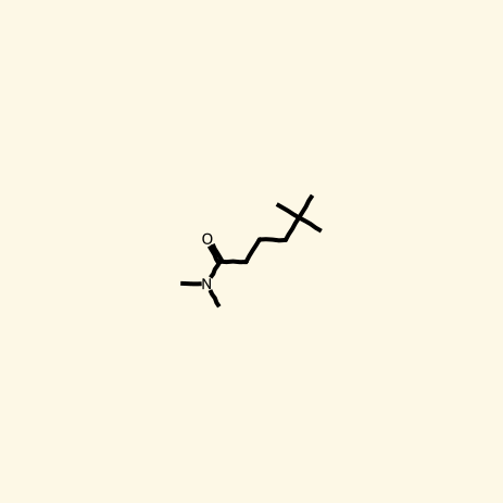 CN(C)C(=O)CCCC(C)(C)C